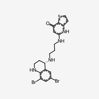 O=c1cc(NCCCN[C@H]2CCNc3c(Br)cc(Br)cc32)[nH]c2ccsc12